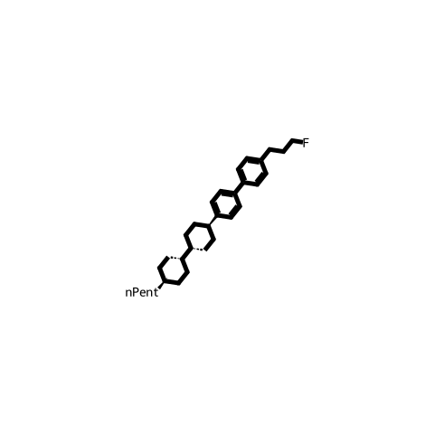 CCCCC[C@H]1CC[C@H]([C@H]2CC[C@H](c3ccc(-c4ccc(CCCF)cc4)cc3)CC2)CC1